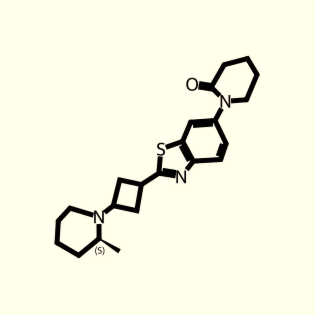 C[C@H]1CCCCN1C1CC(c2nc3ccc(N4CCCCC4=O)cc3s2)C1